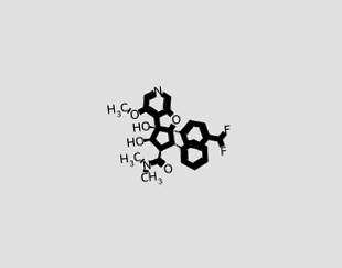 COc1cncc2c1[C@]1(O)[C@H](O)[C@H](C(=O)N(C)C)[C@@H](c3ccccc3)[C@]1(c1ccc(C(F)F)cc1)O2